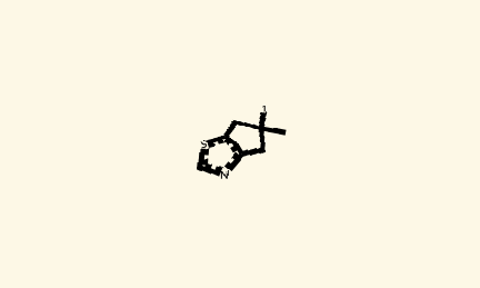 CC1(I)Cc2ncsc2C1